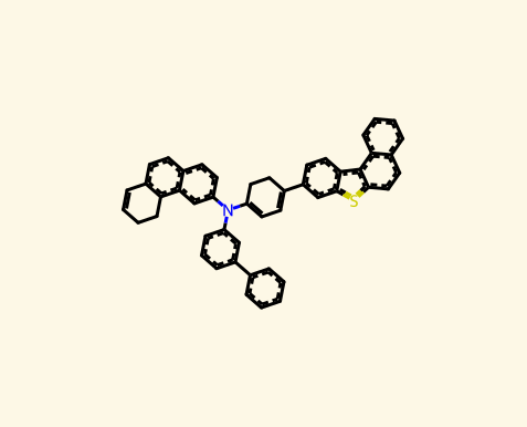 C1=Cc2ccc3ccc(N(C4=CC=C(c5ccc6c(c5)sc5ccc7ccccc7c56)CC4)c4cccc(-c5ccccc5)c4)cc3c2CC1